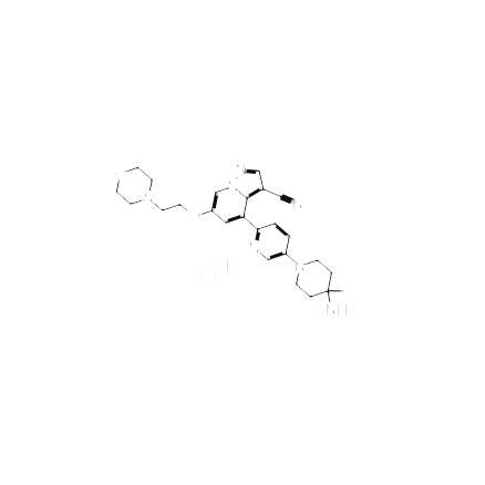 CC1(N)CCN(c2ccc(-c3cc(OCCN4CCOCC4)cn4ncc(C#N)c34)nc2)CC1.Cl.Cl